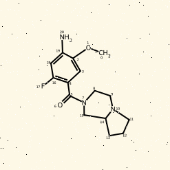 COc1cc(C(=O)N2CCN3CCCC3C2)c(F)cc1N